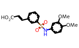 COc1ccc(NS(=O)(=O)c2cccc(C=CC(=O)O)c2)cc1OC